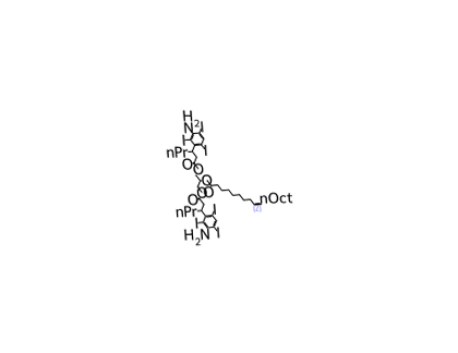 CCCCCCCC/C=C\CCCCCCCC(=O)OC(COC(=O)CC(CCC)c1c(I)cc(I)c(N)c1I)COC(=O)CC(CCC)c1c(I)cc(I)c(N)c1I